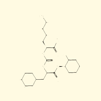 CC1CCCC[C@H]1NC(=O)C(CC1CCCCC1)NC(=O)N[C@@H](CCCCN)C(=O)O